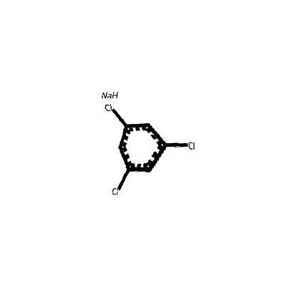 Clc1cc(Cl)cc(Cl)c1.[NaH]